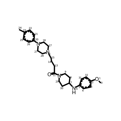 COc1ccc(NC2CCN(C(=O)CCCN3CCN(c4ccc(C)cc4)CC3)CC2)cc1